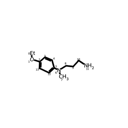 CCOc1ccc(N(C)CCCN)cc1